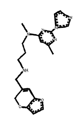 Cc1cc(N(C)CCCNCC2=Cc3occc3OC2)nc(-n2ccnc2)n1